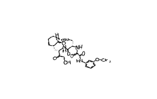 CC(C)(C)C[C@H](NC(=O)C(=O)Nc1cccc(OC(F)(F)F)c1)C(=O)N[C@@H](C[C@@H]1CCCNC1=O)C(=O)CO